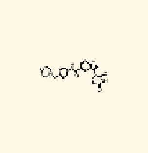 O=C1CCC(c2coc3ccc(C(=O)Nc4ccc(CN5CCOCC5)cc4)cc23)C(=O)N1